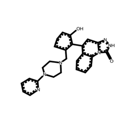 O=c1[nH]nc2cc(-c3c(O)cccc3CN3CCN(c4ccccn4)CC3)c3ccccc3n12